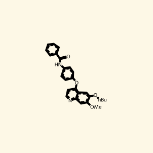 CCCCOc1cc2c(Oc3ccc(NC(=O)c4ccccc4)cc3)ccnc2cc1OC